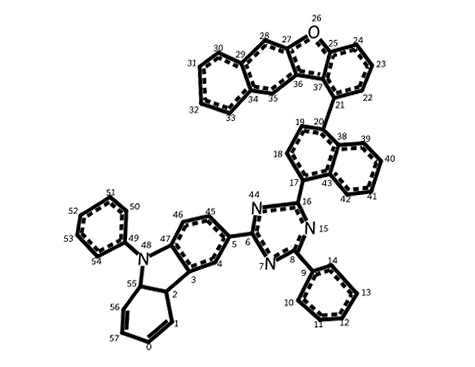 C1=CC2c3cc(-c4nc(-c5ccccc5)nc(-c5ccc(-c6cccc7oc8cc9ccccc9cc8c67)c6ccccc56)n4)ccc3N(c3ccccc3)C2C=C1